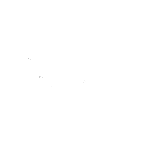 O=C(NC12CCC1C(c1nnc(C3CC(OC(F)(F)F)C3)o1)C2)C1=NO[C@H](c2ccccc2)C1